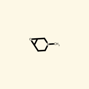 CN1CCC2OC2C1